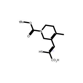 CC1=C(/C=C(\S)C(=O)O)CN(C(=O)OC(C)(C)C)CC1